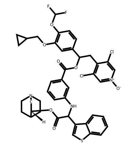 O=C(OC(Cc1c(Cl)c[n+]([O-])cc1Cl)c1ccc(OC(F)F)c(OCC2CC2)c1)c1cccc(NC(C(=O)O[C@H]2CN3CCC2CC3)c2csc3ccccc23)c1